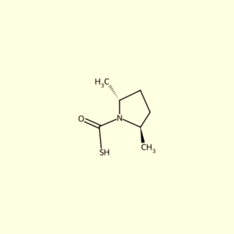 C[C@@H]1CC[C@@H](C)N1C(=O)S